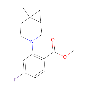 COC(=O)c1ccc(I)cc1N1CCC2(C)CC2C1